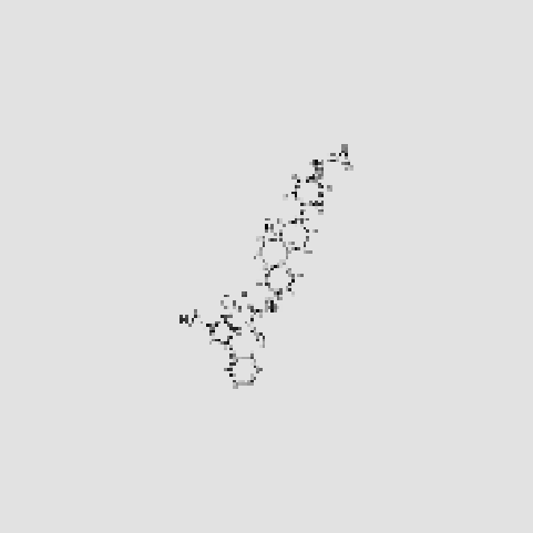 Cc1cc(-c2ccccc2)c(C(=O)C(=O)Nc2ccc3c(c2)OC[C@H]2CN(c4ncc(NC5CC5)cn4)CCN32)n1C